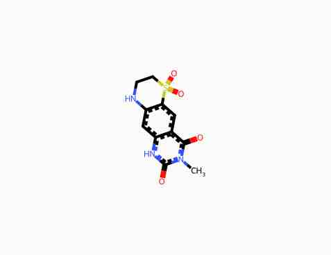 Cn1c(=O)[nH]c2cc3c(cc2c1=O)S(=O)(=O)CCN3